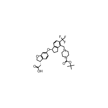 CC(C)(C)OC(=O)N1CCN(Cc2c(C(F)(F)F)ccc3c2CC[C@H]3Oc2ccc3c(c2)OC[C@H]3CC(=O)O)CC1